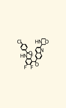 O=C(Nc1cc(F)c(F)c(C(=O)c2ccc3nc(C4COCCN4)ccc3c2)c1F)c1ccc(Cl)cc1